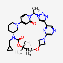 COC1CN(c2cncc(-c3cn(C(C)n4ccc(N5CCC[C@@H](N(CC6CC6)C(=O)OC(C)(C)C)C5)cc4=O)nn3)n2)C1